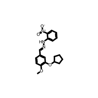 COc1ccc(/C=N/Nc2ccccc2[N+](=O)[O-])cc1OC1CCCC1